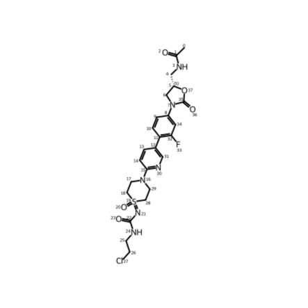 CC(=O)NC[C@H]1CN(c2ccc(-c3ccc(N4CCS(=O)(=NC(=O)NCCCl)CC4)nc3)c(F)c2)C(=O)O1